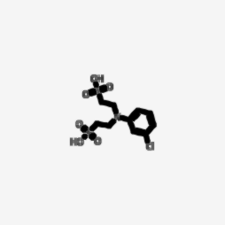 O=S(=O)(O)CCN(CCS(=O)(=O)O)c1cccc(Cl)c1